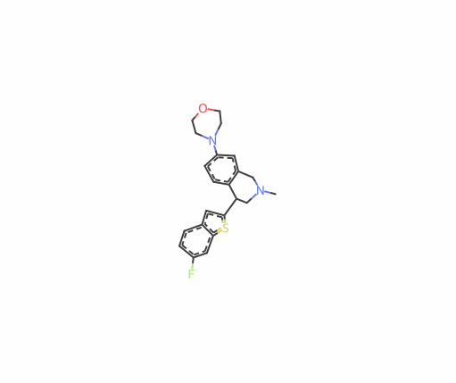 CN1Cc2cc(N3CCOCC3)ccc2C(c2cc3ccc(F)cc3s2)C1